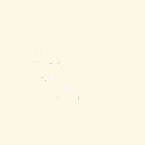 C=C(/N=C(C)\C(=C(/C)C(C)C)C(C)C)SC